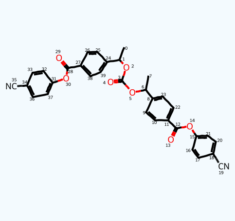 CC(OC(=O)OC(C)c1ccc(C(=O)Oc2ccc(C#N)cc2)cc1)c1ccc(C(=O)Oc2ccc(C#N)cc2)cc1